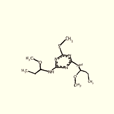 CCC(Nc1nc(NC(CC)OC)nc(SC)n1)OC